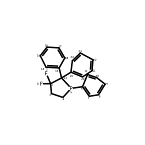 FC1(F)CCP(c2ccccc2)C1(c1ccccc1)c1ccccc1